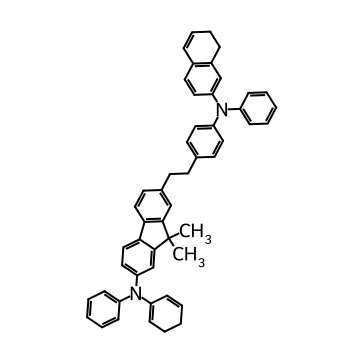 CC1(C)c2cc(CCc3ccc(N(c4ccccc4)c4ccc5c(c4)CCC=C5)cc3)ccc2-c2ccc(N(C3=CCCC=C3)c3ccccc3)cc21